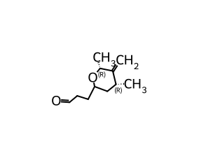 C=C1[C@H](C)CC(CCC=O)O[C@@H]1C